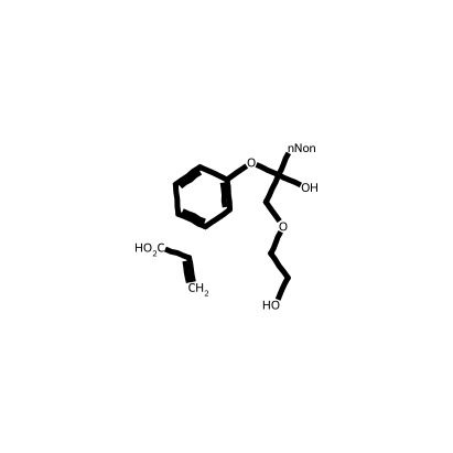 C=CC(=O)O.CCCCCCCCCC(O)(COCCO)Oc1ccccc1